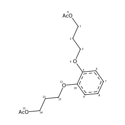 CC(=O)OCCCOc1ccccc1OCCCOC(C)=O